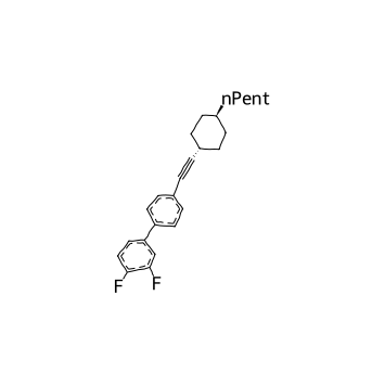 CCCCC[C@H]1CC[C@H](C#Cc2ccc(-c3ccc(F)c(F)c3)cc2)CC1